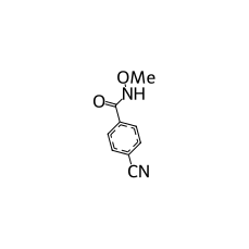 CONC(=O)c1ccc(C#N)cc1